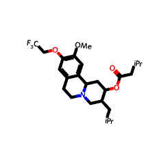 COc1cc2c(cc1OCC(F)(F)F)CCN1CC(CC(C)C)C(OC(=O)CC(C)C)CC21